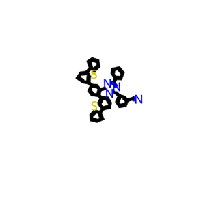 N#Cc1cccc(-c2nc(-c3ccccc3)nc(-c3cc(-c4cccc5c4sc4ccccc45)ccc3-c3cccc4c3sc3ccccc34)n2)c1